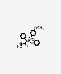 COc1ccc(S(=O)(=O)N(Cc2ccccc2)[C@@H](C(=O)NO)c2ccccc2)cc1